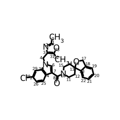 Cc1nc(Cn2cc(C(=O)N3CCC4(CC3)OCc3ccccc34)c3ccc(Cl)cc32)c(C)o1